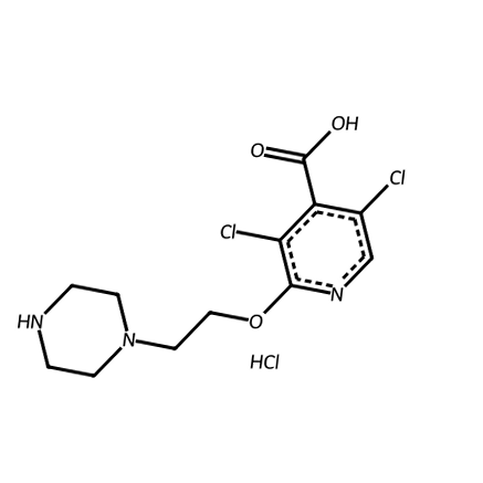 Cl.O=C(O)c1c(Cl)cnc(OCCN2CCNCC2)c1Cl